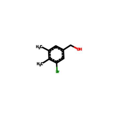 Cc1cc(CO)cc(Br)c1C